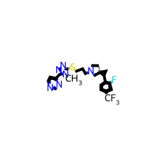 Cn1c(SCCCN2CC[C@@]3(CC3c3ccc(C(F)(F)F)cc3F)C2)nnc1-c1ccncn1